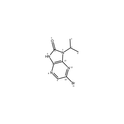 CC(C)n1c(=O)[nH]c2ncc(Br)nc21